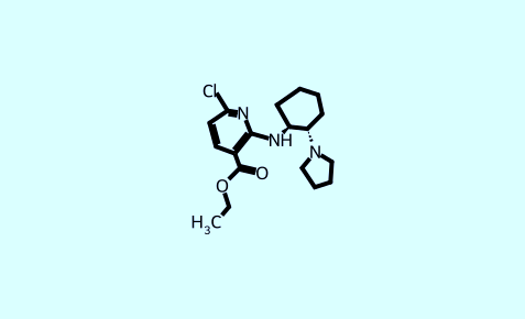 CCOC(=O)c1ccc(Cl)nc1N[C@H]1CCCC[C@@H]1N1CCCC1